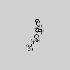 O=C(O)CCCC(=O)NC1CC=C(c2cnc(NCc3ccco3)n3cnnc23)CC1